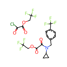 O=C(Cl)C(=O)OCC(F)(F)F.O=C(OCC(F)(F)F)C(=O)N(Cc1ccc(C(F)(F)F)cc1)C1CC1